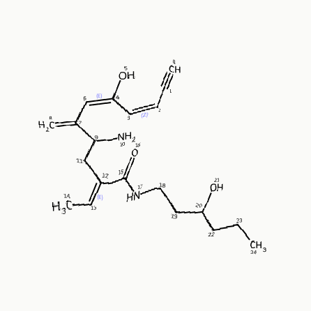 C#C/C=C\C(O)=C/C(=C)C(N)C/C(=C\C)C(=O)NCCC(O)CCC